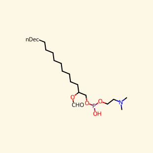 CCCCCCCCCCCCCCCCCCCC(COP(O)OCCN(C)C)OC=O